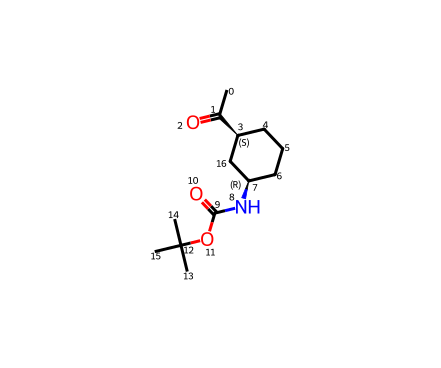 CC(=O)[C@H]1CCC[C@@H](NC(=O)OC(C)(C)C)C1